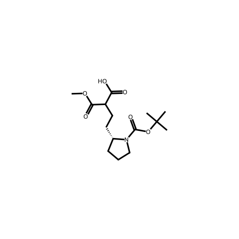 COC(=O)C(CC[C@H]1CCCN1C(=O)OC(C)(C)C)C(=O)O